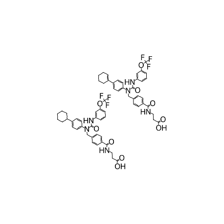 O=C(O)CCNC(=O)c1ccc(CN(C(=O)Nc2cccc(OC(F)(F)F)c2)c2ccc(C3=CCCCC3)cc2)cc1.O=C(O)CCNC(=O)c1ccc(CN(C(=O)Nc2cccc(OC(F)(F)F)c2)c2ccc(C3CCCCC3)cc2)cc1